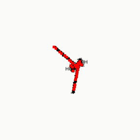 CCCCCCCCCCCCCCCCCCCCC(=S)OC(C)C(Cc1cc(C(C)(C)C)c(O)c(C(C)(C)C)c1)(Cc1cc(C(C)(C)C)c(O)c(C(C)(C)C)c1)C(C)OC(=S)CCCCCCCCCCCCCCCCCCCC